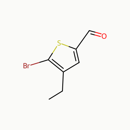 CCc1cc(C=O)sc1Br